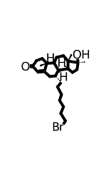 C[C@]12CCC(=O)C=C1C[C@@H](CCCCCCCBr)[C@@H]1[C@@H]2CC[C@@]2(C)[C@H]1CC[C@]2(C)O